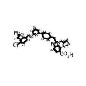 CCn1cncc1Cn1c(CC2CC=C(c3cccc(OCc4ccc(Cl)c5cc(F)oc45)n3)CC2)nc2ccc(C(=O)O)cc21